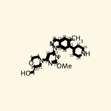 COc1nc(N2CCO[C@H](CO)C2)cc(-n2ncc3cc(C)c(C4CCNCC4)cc32)n1